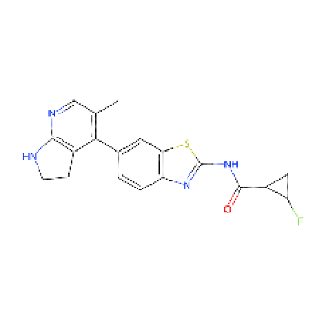 Cc1cnc2c(c1-c1ccc3nc(NC(=O)C4CC4F)sc3c1)CCN2